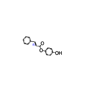 O=C(/C=C/c1ccccc1)Oc1ccc(O)cc1